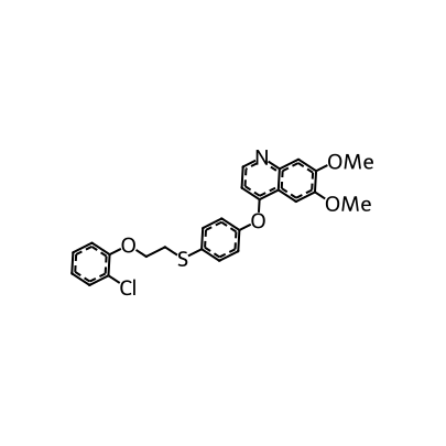 COc1cc2nccc(Oc3ccc(SCCOc4ccccc4Cl)cc3)c2cc1OC